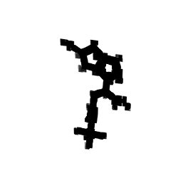 C[Si](C)(C)C#CCC(N)c1ncn2c1C[C@@H](F)C2